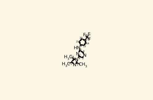 Cc1nc(C)n(-c2cncc(Nc3ccc(C(F)(F)F)cc3)n2)c1C